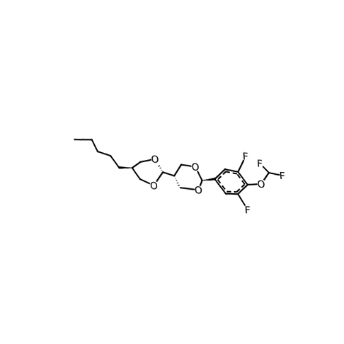 CCCCC[C@H]1CO[C@H]([C@H]2CO[C@H](c3cc(F)c(OC(F)F)c(F)c3)OC2)OC1